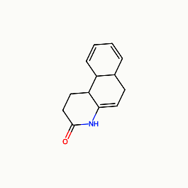 O=C1CCC2C(=CCC3C=CC=CC32)N1